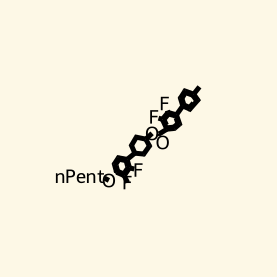 CCCCCOc1ccc(C2CCC(OC(=O)c3ccc(-c4ccc(C)cc4)c(F)c3F)CC2)c(F)c1F